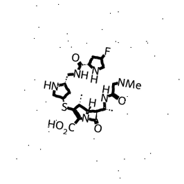 CNCC(=O)N[C@H](C)[C@H]1C(=O)N2C(C(=O)O)=C(S[C@@H]3CN[C@H](CNC(=O)[C@@H]4CC(F)CN4)C3)[C@H](C)[C@H]12